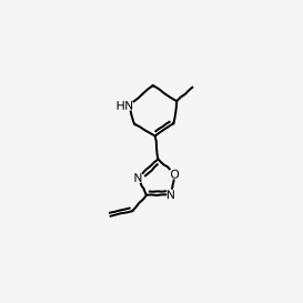 C=Cc1noc(C2=CC(C)CNC2)n1